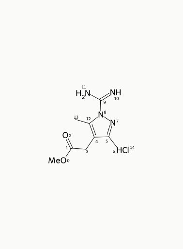 COC(=O)Cc1c(C)nn(C(=N)N)c1C.Cl